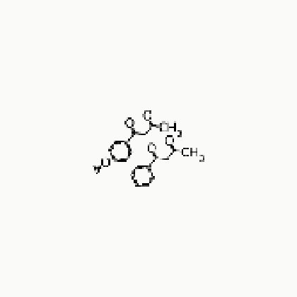 CC(=O)CC(=O)c1ccccc1.CC(=O)CC(=O)c1ccccc1.[O]=[V]